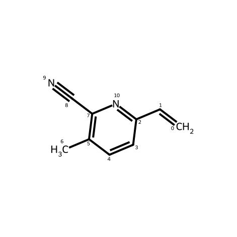 C=Cc1ccc(C)c(C#N)n1